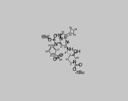 CC(C)(C)OC(=O)N1CC[C@H](CNc2cc(N(C(=O)OC(C)(C)C)c3cccc(S(C)(=O)=O)c3)n3ncc(C4CCC4)c3n2)[C@@H](O)C1